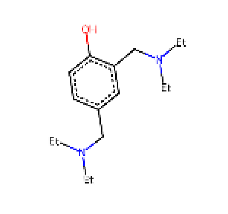 CCN(CC)Cc1ccc(O)c(CN(CC)CC)c1